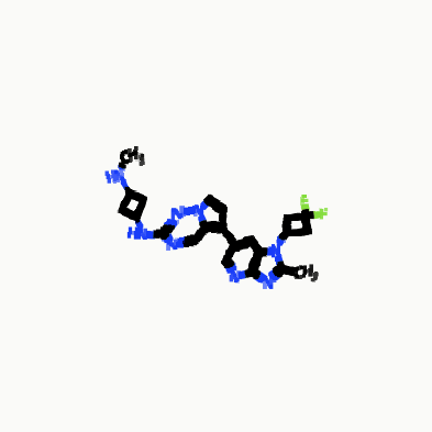 CN[C@H]1C[C@@H](Nc2ncc3c(-c4cnc5nc(C)n(C6CC(F)(F)C6)c5c4)ccn3n2)C1